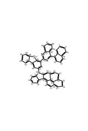 c1ccc2c(-c3nc(-c4cc(-n5c6ccccc6c6c7ccc8cccc9ccc(cc65)c7c98)cc5c4sc4ccccc45)nc4ccccc34)cccc2c1